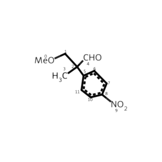 COCC(C)(C=O)c1ccc([N+](=O)[O-])cc1